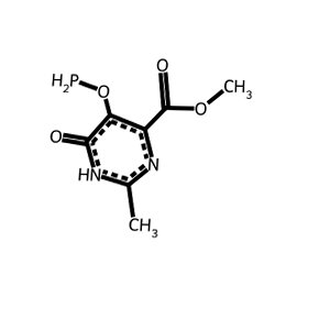 COC(=O)c1nc(C)[nH]c(=O)c1OP